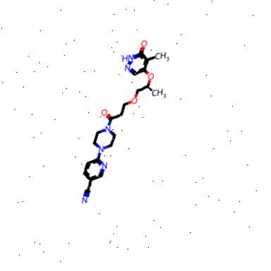 Cc1c(O[C@@H](C)COCCC(=O)N2CCN(c3ccc(C#N)cn3)CC2)cn[nH]c1=O